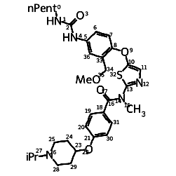 CCCCCNC(=O)Nc1ccc(Oc2cnc(N(C)C(=O)c3ccc(OC4CCN(C(C)C)CC4)cc3)s2)c(COC)c1